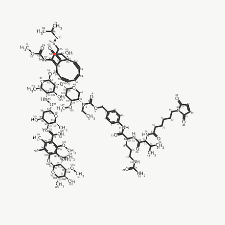 CCN(C(=O)OCc1ccc(NC(=O)[C@H](CCCNC(N)=O)NC(=O)[C@@H](NC(=O)CCCCCN2C(=O)C=CC2=O)C(C)C)cc1)[C@H]1CO[C@@H](O[C@H]2[C@H](O[C@H]3C#CC=CC#C[C@]4(O)CC(=O)C(NC(=O)OC)=C3C4=CCSSC(C)C)O[C@H](C)[C@@H](NO[C@H]3C[C@H](O)[C@H]([SH]=C(O)c4c(C)c(I)c(O[C@@H]5O[C@@H](C)[C@H](O)[C@@H](OC)[C@H]5O)c(OC)c4OC)[C@@H](C)O3)[C@@H]2O)C[C@@H]1OC